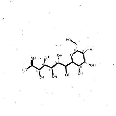 N=C(N)[C@H](O)[C@@H](O)[C@H](O)[C@H](O)C(O)C1O[C@H](CO)[C@H](O)[C@H](O)[C@H]1O